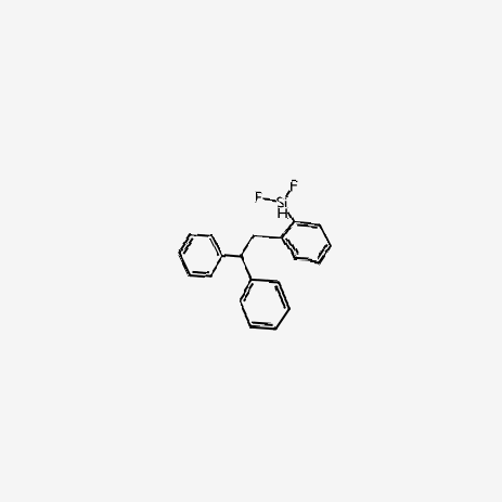 F[SiH](F)c1ccccc1CC(c1ccccc1)c1ccccc1